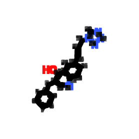 Oc1c(Cc2ccccc2)cnc2ccc(C#CCn3cnnn3)cc12